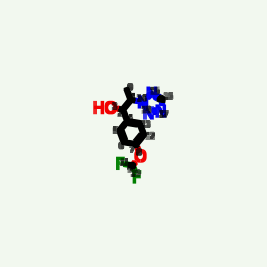 CC(C(O)c1ccc(OC(F)F)cc1)n1ncnn1